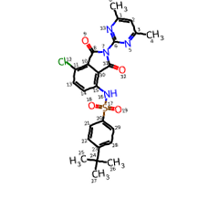 Cc1cc(C)nc(N2C(=O)c3c(Cl)ccc(NS(=O)(=O)c4ccc(C(C)(C)C)cc4)c3C2=O)n1